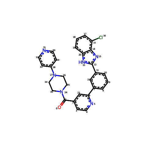 O=C(c1ccnc(-c2cccc(-c3nc4c(Cl)cccc4[nH]3)c2)c1)N1CCN(c2ccncc2)CC1